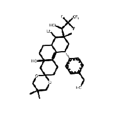 CCC1C2CCC3(O)CC4(CCC3=C2[C@@H](c2ccc(CO)cc2)CC1(C)C(O)C(F)(F)C(F)(F)F)OCC(C)(C)CO4